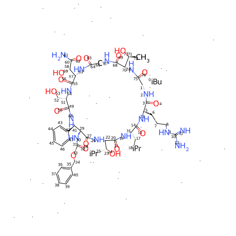 CC[C@H](C)[C@@H]1NC(=O)[C@@H](CCCNC(=N)N)NC(=O)[C@H](CC(C)C)NC(=O)[C@H]([C@H](O)C(C)C)NC(=O)[C@@H](NC(=O)OCc2ccccc2)[C@@H](c2ccccc2)NC(=O)[C@H](CO)NC(=O)[C@H]([C@H](O)C(N)=O)NC(=O)CNC(=O)[C@H]([C@H](C)O)NC1=O